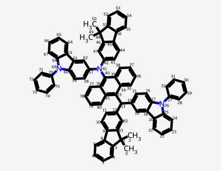 CC1(C)c2ccccc2-c2ccc(C(c3ccc4c(c3)c3ccccc3n4-c3ccccc3)c3c4ccccc4c(N(c4ccc5c(c4)C(C)(C)c4ccccc4-5)c4ccc5c(c4)c4ccccc4n5-c4ccccc4)c4ccccc34)cc21